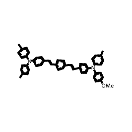 COc1ccc(N(c2ccc(C)cc2)c2ccc(C=Cc3ccc(C=Cc4ccc(N(c5ccc(C)cc5)c5ccc(C)cc5)cc4)cc3)cc2)cc1